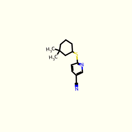 CC1(C)CCCC(Sc2ccc(C#N)cn2)C1